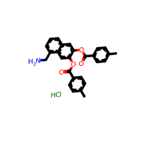 Cc1ccc(C(=O)Oc2cc3cccc(CN)c3cc2OC(=O)c2ccc(C)cc2)cc1.Cl